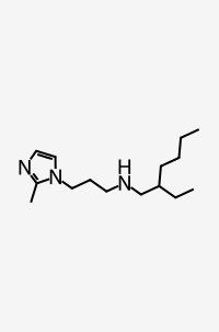 CCCCC(CC)CNCCCn1ccnc1C